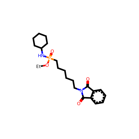 CCOP(=O)(CCCCCCN1C(=O)c2ccccc2C1=O)NC1CCCCC1